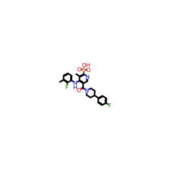 Cc1cccc(Nc2c(C(=O)N3CCC(c4ccc(F)cc4)CC3)cnc(S(=O)(=O)O)c2C)c1F